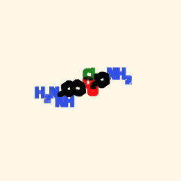 N=C(N)c1ccc2cc(OC(=O)c3ccc(N)cc3Cl)ccc2c1